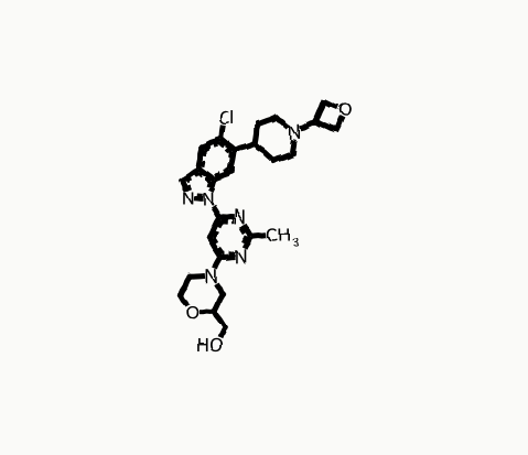 Cc1nc(N2CCOC(CO)C2)cc(-n2ncc3cc(Cl)c(C4CCN(C5COC5)CC4)cc32)n1